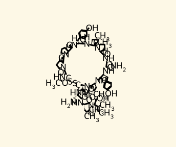 CC[C@H](C)[C@H](NC(=O)[C@H](CC(C)C)NC(=O)[C@H](CN)NC(=O)[C@@H]1CSSC[C@H](NC(C)=O)C(=O)N2CCC[C@H]2C(=O)N2CCC[C@H]2C(=O)N[C@@H](Cc2ccc(O)cc2)C(=O)N[C@@H](CC(C)C)C(=O)N2CCC[C@H]2C(=O)N[C@@H](CN)C(=O)N[C@@H](Cc2ccc(O)cc2)C(=O)N[C@@H](CC(C)C)C(=O)N1)C(=O)O